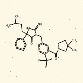 CC(C)CCC1(c2ccccc2)NC(=N)N(Cc2ccc(C(F)(F)F)c(C(=O)N3CCC(C)(C)C3)c2)C1=O